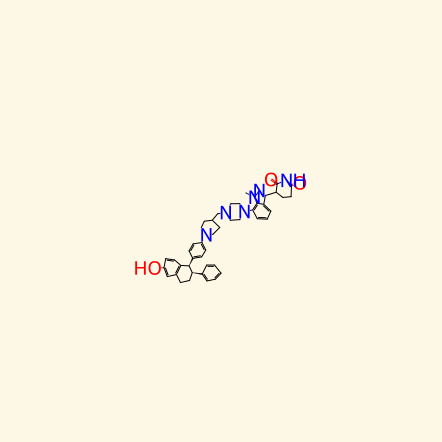 Cn1nc(C2CCC(=O)NC2=O)c2cccc(N3CCN(CC4CCN(c5ccc([C@@H]6c7ccc(O)cc7CC[C@@H]6c6ccccc6)cc5)CC4)CC3)c21